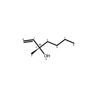 C=C[C@@](C)(O)CCCC